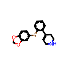 C1=C(c2ccccc2Sc2ccc3c(c2)OCO3)CCNC1